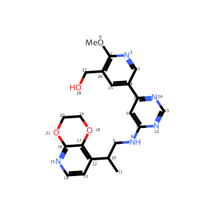 COc1ncc(-c2cc(NCC(C)c3ccnc4c3OCCO4)ncn2)cc1CO